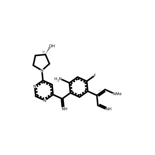 CN/C=C(\C=N)c1cc(C(=N)c2cc(N3CC[C@H](O)C3)ncn2)c(N)cc1F